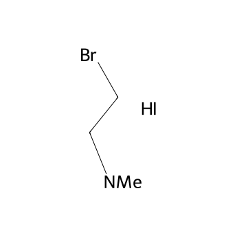 CNCCBr.I